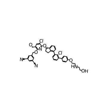 N#Cc1cc(C#N)cc(COc2nc(O[C@H]3CCc4c(-c5cccc(-c6ccc(OCCNCCO)cc6)c5Cl)cccc43)c(Cl)cc2C=O)c1